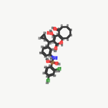 O=C1CCCCCc2oc(=O)c(C(c3cccc(NS(=O)(=O)c4ccc(Cl)cc4Cl)c3)C3CC3)c(O)c21